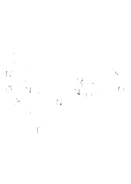 O=C1CCC(N2Cc3c(cc(F)cc3N3CCN(S(=O)(=O)c4ccc5c(c4)OCO5)CC3)C2=O)C(=O)N1